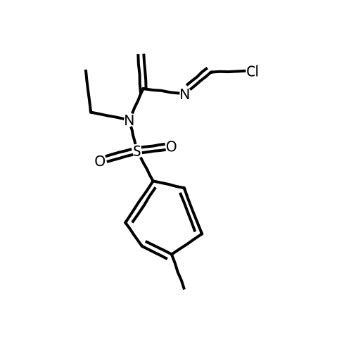 C=C(/N=C/Cl)N(CC)S(=O)(=O)c1ccc(C)cc1